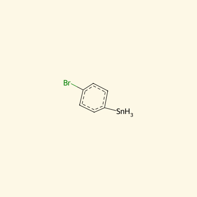 Brc1cc[c]([SnH3])cc1